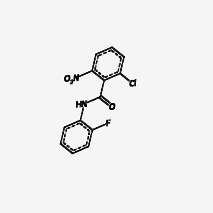 O=C(Nc1ccccc1F)c1c(Cl)cccc1[N+](=O)[O-]